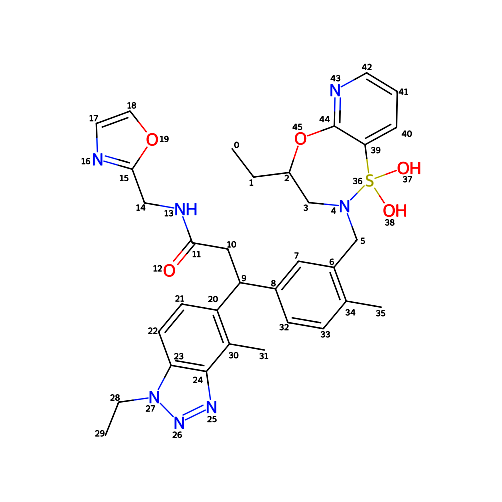 CCC1CN(Cc2cc(C(CC(=O)NCc3ncco3)c3ccc4c(nnn4CC)c3C)ccc2C)S(O)(O)c2cccnc2O1